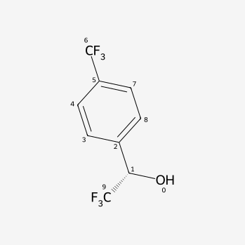 O[C@@H](c1ccc(C(F)(F)F)cc1)C(F)(F)F